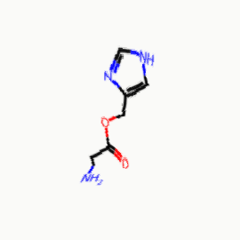 NCC(=O)OCc1c[nH]cn1